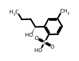 CCC[C@@H](O)c1cc(C)ccc1S(=O)(=O)O